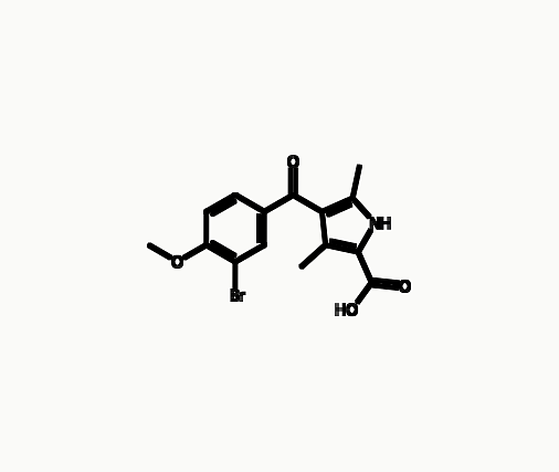 COc1ccc(C(=O)c2c(C)[nH]c(C(=O)O)c2C)cc1Br